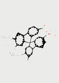 COc1cc2c(cc1OC)C1(c3cc(B(O)O)ccc3-2)c2cc(B(O)O)ccc2-c2cc(OC)c(OC)cc21